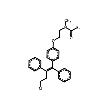 CCC(=O)N(C)CCOc1ccc(/C(=C(/CCCl)c2ccccc2)c2ccccc2)cc1